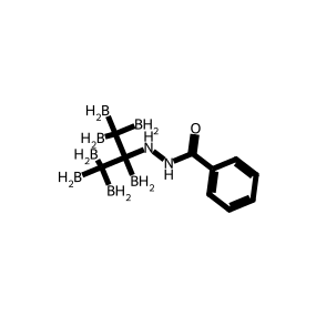 BC(B)(B)C(B)(NNC(=O)c1ccccc1)C(B)(B)B